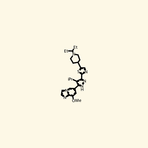 CCC(CC)N1CCC(c2cnc(-c3n[nH]c(-c4cc(OC)c5nccn5c4)c3C(C)C)s2)CC1